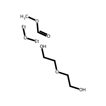 CCOCC.COC=O.OCCOCCO